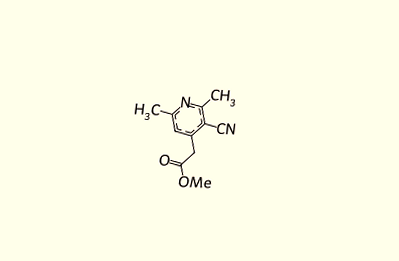 COC(=O)Cc1cc(C)nc(C)c1C#N